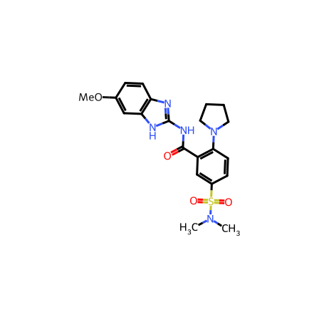 COc1ccc2nc(NC(=O)c3cc(S(=O)(=O)N(C)C)ccc3N3CCCC3)[nH]c2c1